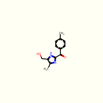 Cc1ccc(C(=O)c2nc(C)c(CO)[nH]2)cc1